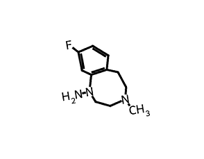 CN1CCc2ccc(F)cc2N(N)CC1